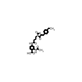 CCc1ccc(/C=C2\SC(=O)N(CCCC(=O)Nc3ccc(C(=O)O)c(NC(C)=O)c3)C2=O)cc1